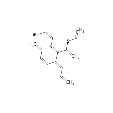 C=C\C=C/C(=C\C=C)C(=N/C=C\C(C)C)/C(=C)SC=C